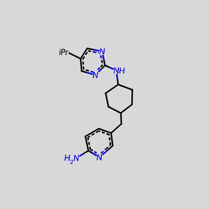 CC(C)c1cnc(NC2CCC(Cc3ccc(N)nc3)CC2)nc1